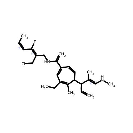 C=CC(/C(C)=C/NC)C1C=CC(C(=C)NC/C(CCl)=C(F)/C=C\C)=CC(CC)=C1C